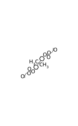 CC(C)(c1ccc(OC(=O)OCC2CO2)cc1)c1ccc(OC(=O)OCC2CO2)cc1